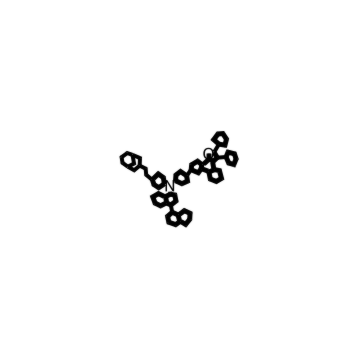 c1ccc(-c2oc3c4ccc(-c5ccc(N(c6ccc(CCC7CC8CCCC(C8)C7)cc6)c6ccc(-c7cccc8ccccc78)c7ccccc67)cc5)cc4c4ccccc4c3c2-c2ccccc2)cc1